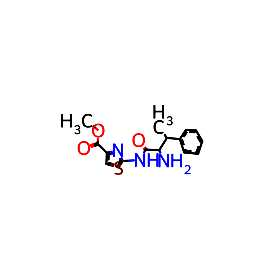 COC(=O)c1csc(NC(=O)C(N)C(C)c2ccccc2)n1